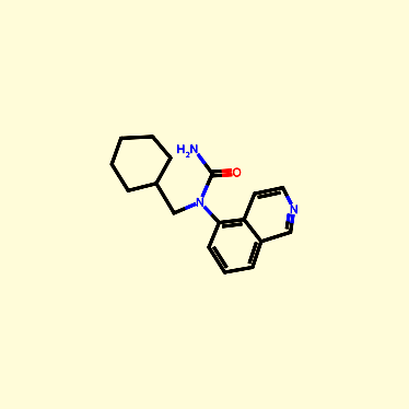 NC(=O)N(CC1CCCCC1)c1cccc2cnccc12